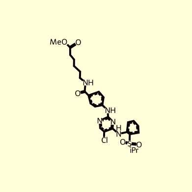 COC(=O)CCCCCNC(=O)c1ccc(Nc2ncc(Cl)c(Nc3ccccc3S(=O)(=O)C(C)C)n2)cc1